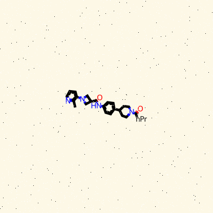 CCCC(=O)N1CCC(c2ccc(NC(=O)C3CN(c4cccnc4C)C3)cc2)CC1